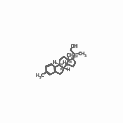 Cc1ccc2c(c1)CC[C@@H]1[C@@H]2CC[C@]2(C)[C@@H]([C@H](C)CO)CC[C@@H]12